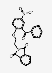 O=C(c1ccccc1)c1cc([N+](=O)[O-])ccc1OCCN1C(=O)c2ccccc2C1=O